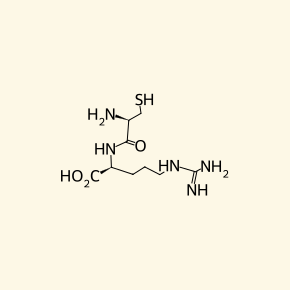 N=C(N)NCCC[C@H](NC(=O)[C@@H](N)CS)C(=O)O